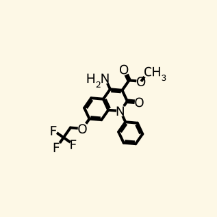 COC(=O)c1c(N)c2ccc(OCC(F)(F)F)cc2n(-c2ccccc2)c1=O